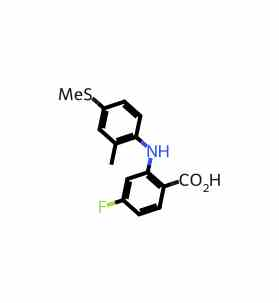 CSc1ccc(Nc2cc(F)ccc2C(=O)O)c(C)c1